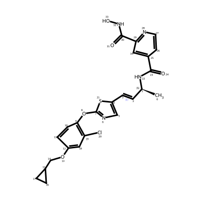 C[C@@H](/C=C/c1cnc(Oc2ccc(OCC3CC3)cc2Cl)s1)NC(=O)c1ccnc(C(=O)NO)c1